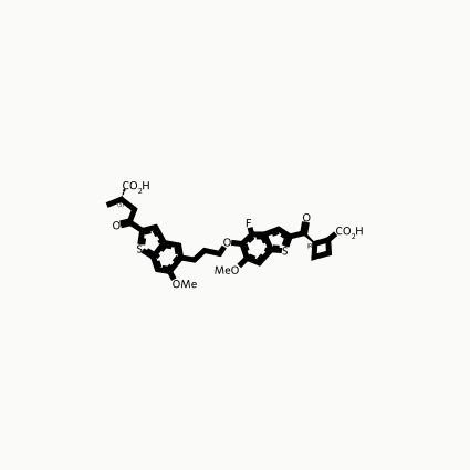 COc1cc2sc(C(=O)C[C@H](C)C(=O)O)cc2cc1CCCOc1c(OC)cc2sc(C(=O)[C@@H]3CCC3C(=O)O)cc2c1F